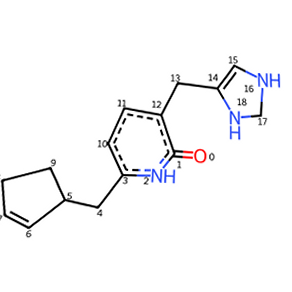 O=c1[nH]c(CC2C=CCC2)ccc1CC1=CNCN1